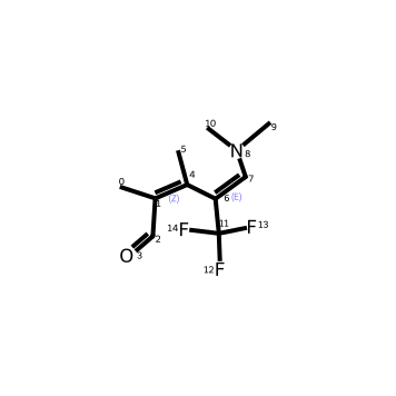 C/C(C=O)=C(C)/C(=C\N(C)C)C(F)(F)F